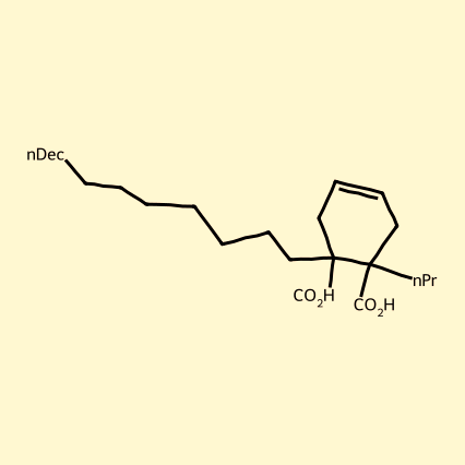 CCCCCCCCCCCCCCCCCC1(C(=O)O)CC=CCC1(CCC)C(=O)O